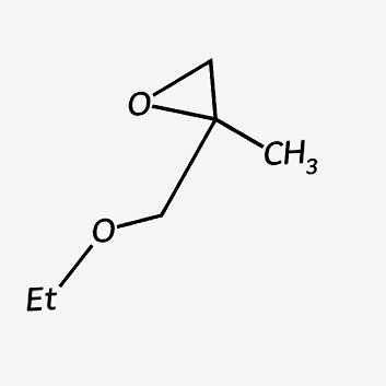 CCOCC1(C)CO1